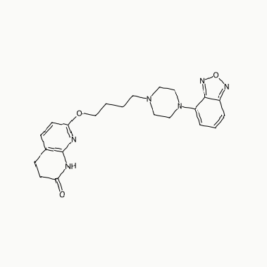 O=C1CCc2ccc(OCCCCN3CCN(c4cccc5nonc45)CC3)nc2N1